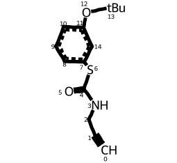 C#CCNC(=O)Sc1cccc(OC(C)(C)C)c1